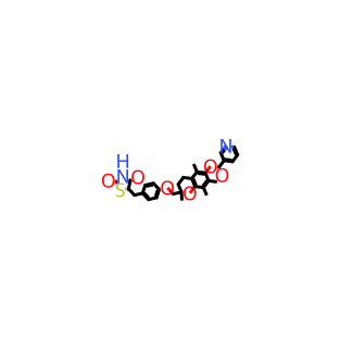 Cc1c(C)c2c(c(C)c1OC(=O)c1cccnc1)CCC(C)(COc1ccc(CC3SC(=O)NC3=O)cc1)O2